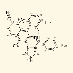 Cc1cc(Nc2c(C#N)cnc3c(Cl)cc(N[C@@H](c4ccc(F)cc4)c4c[nH]nn4)cc23)cnc1F